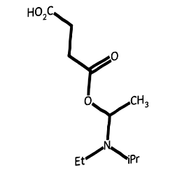 CCN(C(C)C)C(C)OC(=O)CCC(=O)O